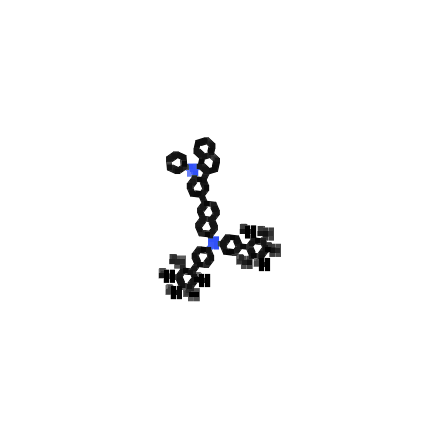 [2H]c1c([2H])c([2H])c(-c2ccc(N(c3ccc(-c4c([2H])c([2H])c([2H])c([2H])c4[2H])cc3)c3ccc4cc(-c5ccc6c(c5)c5ccc7ccccc7c5n6-c5ccccc5)ccc4c3)cc2)c([2H])c1[2H]